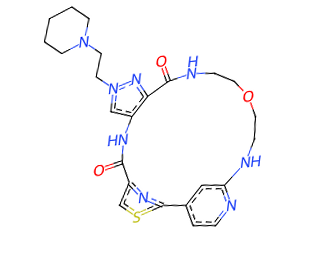 O=C1Nc2cn(CCN3CCCCC3)nc2C(=O)NCCOCCNc2cc(ccn2)-c2nc1cs2